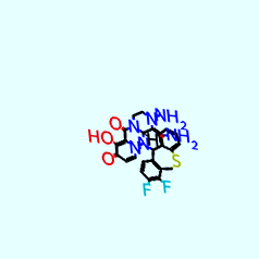 N/C=C1/[C@@H]2N(CCN1N)C(=O)c1c(O)c(=O)ccn1N2C1c2ccccc2SCc2c1ccc(F)c2F